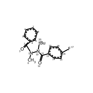 CN(C(=O)c1ccccc1)N(C(=O)c1ccc(F)cc1)C(C)(C)C